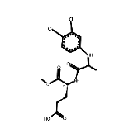 COC(=O)[C@H](CCC(=O)O)NC(=O)C(C)Nc1ccc(Cl)c(Cl)c1